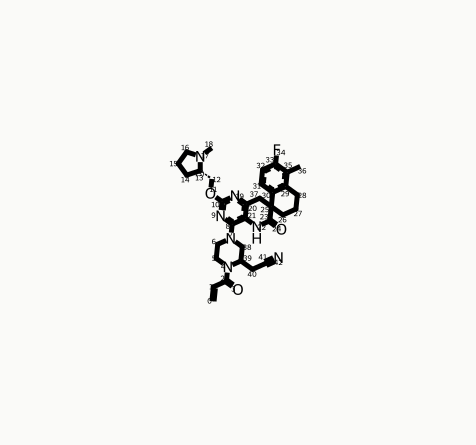 C=CC(=O)N1CCN(c2nc(OC[C@@H]3CCCN3C)nc3c2NC(=O)C2(CCCc4c2ccc(F)c4C)C3)CC1CC#N